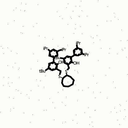 CC(C)c1cc(-c2cc(C(C)(C)C)cc(CS[C@H]3CCCCCC[C@@H]3SCc3cc(C(C)(C)C)cc(-c4cc(C(C)C)cc(C(C)C)c4)c3O)c2O)cc(C(C)C)c1